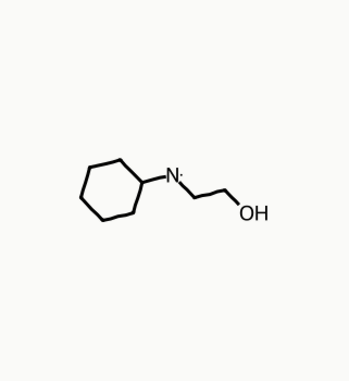 OCC[N]C1CCCCC1